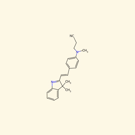 CN(CCC#N)c1ccc(C=CC2=Nc3ccccc3C2(C)C)cc1